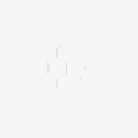 Cc1ccc(C)c(C)c1C.N